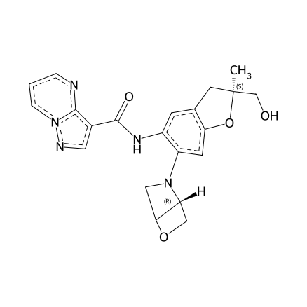 C[C@@]1(CO)Cc2cc(NC(=O)c3cnn4cccnc34)c(N3CC4OC[C@H]43)cc2O1